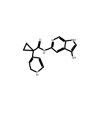 O=C(Nc1cc2c(S)c[nH]c2cn1)C1(C2=CCPC=C2)CC1